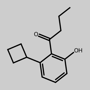 CCCC(=O)c1c(O)cccc1C1CCC1